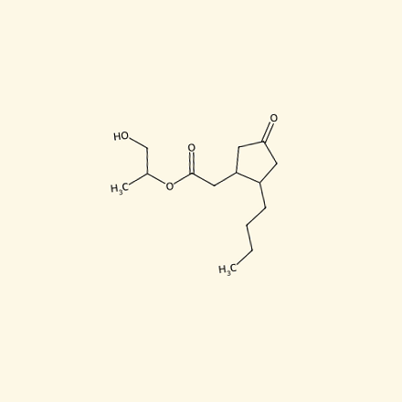 CCCCC1CC(=O)CC1CC(=O)OC(C)CO